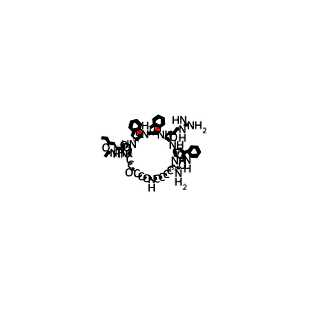 CCCC[C@H](NC(C)=O)C(=O)N[C@H]1CCC(=O)CCCNCCCC[C@@H](C(N)=O)NC(=O)[C@H](Cc2c[nH]c3ccccc23)NC(=O)[C@H](CCCNC(=N)N)NC(=O)[C@@H](Cc2ccccc2)NC(=O)[C@H](Cc2ccccc2)NC1=O